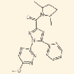 COc1ccc(-n2nc(C(=O)N3C(C)CCC3C)cc2-c2ccccn2)nn1